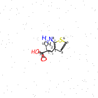 CC(=Cc1ccsc1N)C(=O)O